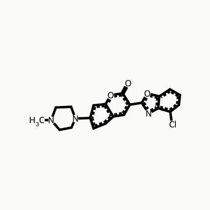 CN1CCN(c2ccc3cc(-c4nc5c(Cl)cccc5o4)c(=O)oc3c2)CC1